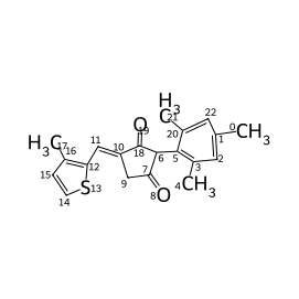 Cc1cc(C)c(C2C(=O)C/C(=C\c3sccc3C)C2=O)c(C)c1